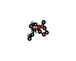 c1ccc(-c2ccc3c(c2)c2ccc(-c4ccc5oc6cccc(-c7nc(-c8ccc9c(c8)oc8ccccc89)nc(-n8c9ccccc9c9cc(-c%10ccccc%10)ccc98)n7)c6c5c4)cc2n3-c2ccccc2)cc1